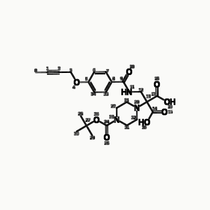 CC#CCOc1ccc(C(=O)NCC(C(=O)O)(C(=O)O)N2CCN(C(=O)OC(C)(C)C)CC2)cc1